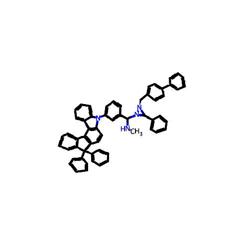 CNC(c1cccc(-n2c3ccccc3c3c4c(ccc32)C(c2ccccc2)(c2ccccc2)c2ccccc2-4)c1)N1C(c2ccccc2)[N@]1Cc1ccc(-c2ccccc2)cc1